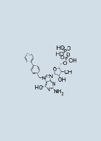 Nc1nc(O)c2c(n1)n([C@@H]1O[C@H](COP(=O)(O)OP(=O)(O)O)[C@@H](O)[C@H]1O)c[n+]2Cc1ccc(-c2ccccc2)cc1